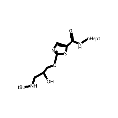 CCCCCCCNC(=O)c1cnc(OCC(O)CNC(C)(C)C)s1